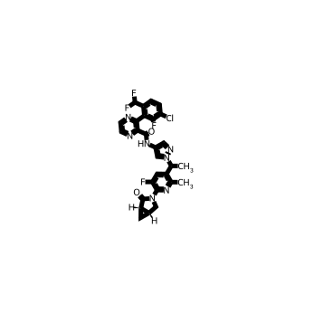 Cc1nc(N2C[C@H]3C[C@H]3C2=O)c(F)cc1C(C)n1cc(NC(=O)c2nccnc2-c2c(C(F)F)ccc(Cl)c2F)cn1